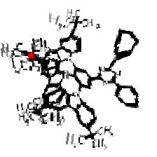 CC(C)(C)c1ccc2c(c1)c1cc(C(C)(C)C)ccc1n2-c1cc(-c2nc(-c3ccccc3)nc(-c3ccccc3)n2)cc(-n2c3ccc(C(C)(C)C)cc3c3cc(C(C)(C)C)ccc32)c1-n1c2ccc(C(C)(C)C)cc2c2cc(C(C)(C)C)ccc21